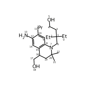 CCC(CC)(CCO)CN1c2cc(C(C)C)c(N)cc2C(CO)CC1(C)C